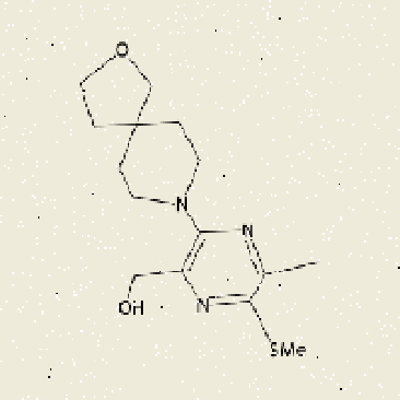 CSc1nc(CO)c(N2CCC3(CCOC3)CC2)nc1C